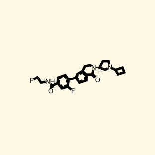 O=C(NCCF)c1ccc(-c2ccc3c(c2)CCN([C@@H]2CCN(C4CCC4)C2)C3=O)c(F)c1